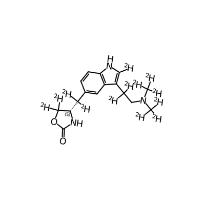 [2H]c1[nH]c2ccc(C([2H])([2H])[C@@H]3NC(=O)OC3([2H])[2H])cc2c1C([2H])([2H])CN(C([2H])([2H])[2H])C([2H])([2H])[2H]